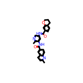 Cc1ccc2cc(C(=O)Nc3cc(NC(=O)c4ccc5c(c4)OCCC5)cnc3C)ccc2n1